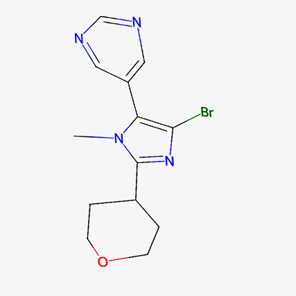 Cn1c(C2CCOCC2)nc(Br)c1-c1cncnc1